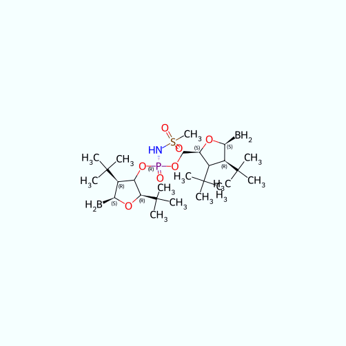 B[C@@H]1O[C@H](C(C)(C)C)C(O[P@@](=O)(NS(C)(=O)=O)OC[C@H]2O[C@@H](B)[C@@H](C(C)(C)C)C2C(C)(C)C)[C@@H]1C(C)(C)C